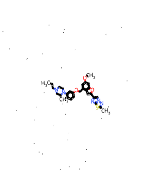 CCCN1CCN(c2cccc(OCc3cc(OC)cc4oc(-c5cn6nc(C)sc6n5)cc34)c2)C(C)C1